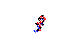 CC[C@H](C)[C@@H]([C@@H](CC(=O)N1CCC[C@H]1[C@H](OC)[C@@H](C)C(=O)N[C@H](C=O)C(OC(C)(C)C)c1ccccc1)OC)N(C)C(=O)[C@@H](NC(=O)C(C)(C)N)C(C)C